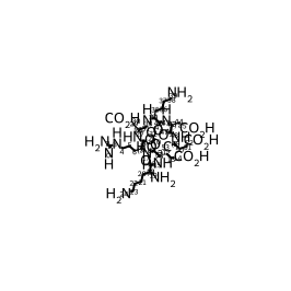 N=C(N)NCCC[C@H](NC(=O)[C@H](CCC(=O)O)NC(=O)[C@@H](N)CCCCN)C(=O)N[C@@H](CC(=O)O)C(=O)N[C@@H](CCCCN)C(=O)N[C@@H](CC(=O)O)C(=O)N[C@@H](CCC(=O)O)C(=O)O